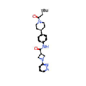 CC(C)(C)CC(=O)N1CCC(c2ccc(NC(=O)C3CN(c4cccnn4)C3)cc2)CC1